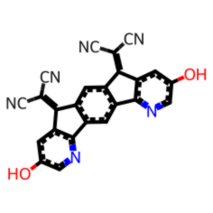 N#CC(C#N)=C1c2cc3c(cc2-c2ncc(O)cc21)-c1ncc(O)cc1C3=C(C#N)C#N